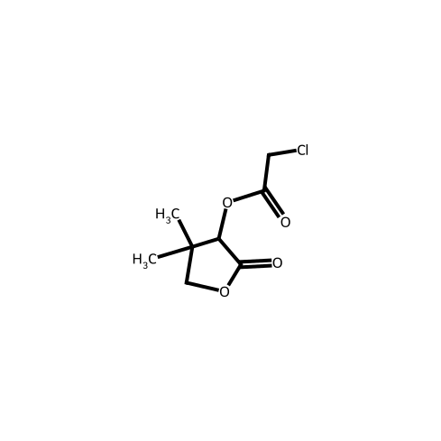 CC1(C)COC(=O)C1OC(=O)CCl